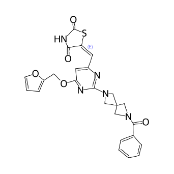 O=C1NC(=O)/C(=C\c2cc(OCc3ccco3)nc(N3CC4(CN(C(=O)c5ccccc5)C4)C3)n2)S1